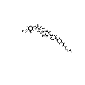 CCCCCC1CCC(C2COC(c3ccc(C4CCC(C(F)(F)Oc5ccc(C)c(F)c5)CC4)c(F)c3)OC2)CC1